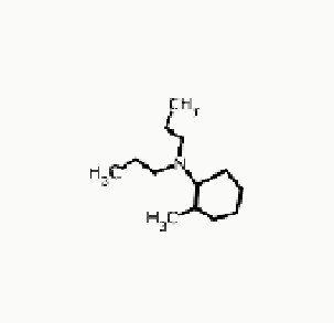 CCCN(CCC)C1CCCCC1C